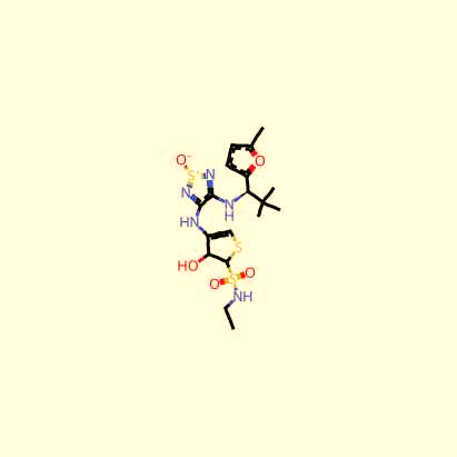 CCNS(=O)(=O)C1SC=C(Nc2n[s+]([O-])nc2N[C@@H](c2ccc(C)o2)C(C)(C)C)C1O